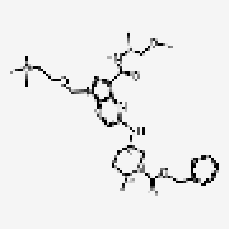 COCC(C)NC(=O)c1cn(COCC[Si](C)(C)C)c2ncc(N[C@@H]3CC[C@H](C)N(C(=O)OCc4ccccc4)C3)nc12